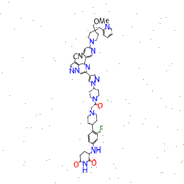 COCC1(Cc2ccccn2)CCN(c2ccc(-c3nc(-c4cnn(C5CCN(C(=O)CN6CCC(c7ccc(NC8CCC(=O)NC8=O)cc7F)CC6)CC5)c4)cn4ncc(C#N)c34)cn2)CC1